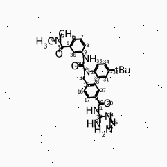 CN(C)C(=O)c1cccc(NC(=O)N(Cc2ccc(C(=O)NC(=N)/N=N\N)cc2)c2ccc(C(C)(C)C)cc2)c1